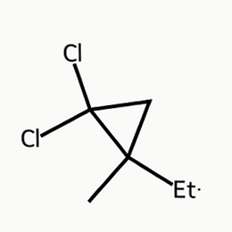 C[CH]C1(C)CC1(Cl)Cl